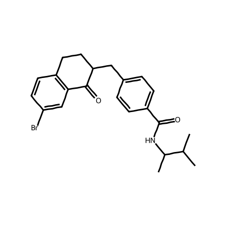 CC(C)C(C)NC(=O)c1ccc(CC2CCc3ccc(Br)cc3C2=O)cc1